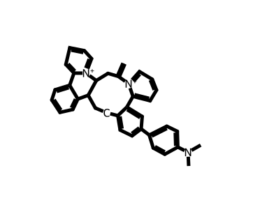 C=C1CC2C(CCc3ccc(-c4ccc(N(C)C)cc4)cc3-c3cccc[n+]31)c1ccccc1-c1cccc[n+]12